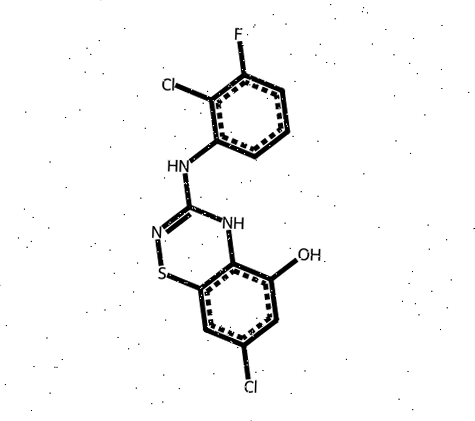 Oc1cc(Cl)cc2c1NC(Nc1cccc(F)c1Cl)=NS2